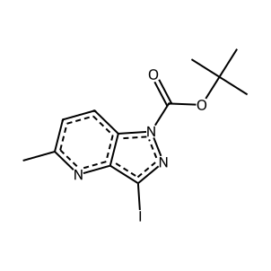 Cc1ccc2c(n1)c(I)nn2C(=O)OC(C)(C)C